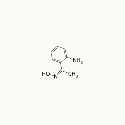 C/C(=N/O)c1ccccc1N